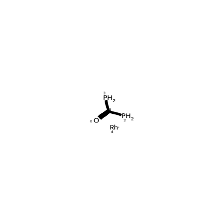 O=C(P)P.[Rh]